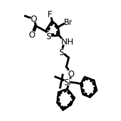 COC(=O)c1sc(NSCCO[Si](c2ccccc2)(c2ccccc2)C(C)(C)C)c(Br)c1F